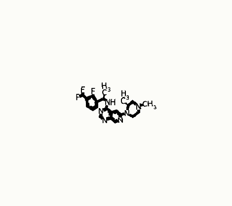 C[C@@H](Nc1ncnc2cnc(N3CCN(C)C[C@@H]3C)cc12)c1cccc(C(F)F)c1F